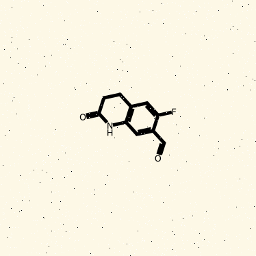 O=Cc1cc2c(cc1F)CCC(=O)N2